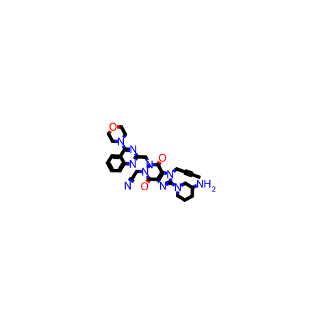 CC#CCn1c(N2CCCC(N)C2)nc2c(=O)n(CC#N)n(Cc3nc(N4CCOCC4)c4ccccc4n3)c(=O)c21